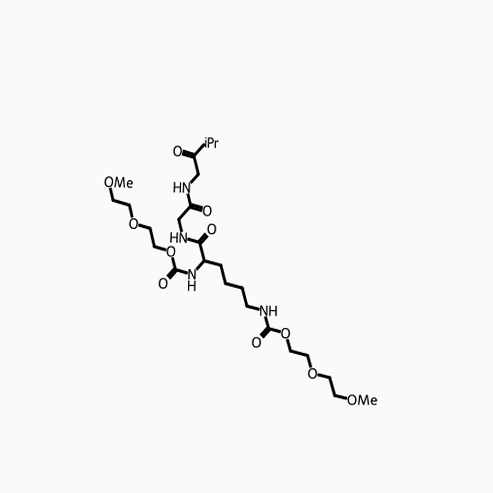 COCCOCCOC(=O)NCCCCC(NC(=O)OCCOCCOC)C(=O)NCC(=O)NCC(=O)C(C)C